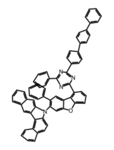 c1ccc(-c2ccc(-c3ccc(-c4nc(-c5ccccc5)nc(-c5cccc6oc7cc(-n8c9cc%10ccccc%10cc9c9c%10ccccc%10ccc98)c(-c8ccccc8)cc7c56)n4)cc3)cc2)cc1